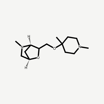 CN1CCC(C)(OCC2O[C@@H]3C[C@H]2N(C)C3)CC1